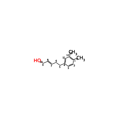 Cc1ccc(CCC=CCO)cc1C